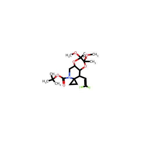 COC1(C)OC2CN(C(=O)OC(C)(C)C)C3(CC3)C(C=C(F)F)C2OC1(C)OC